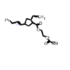 C=CC1CC(/C=C/CC(C)C)CC1C(=O)OCCOC(=O)C(C)CC